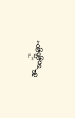 C=CC(=O)OCCCCOc1ccc(C(=O)Oc2ccc(C(=O)Oc3ccc(C4CC4)cc3)cc2C(F)(F)F)cc1